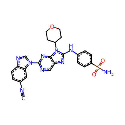 [C-]#[N+]c1ccc2ncn(-c3ncc4nc(Nc5ccc(S(N)(=O)=O)cc5)n(C5CCOCC5)c4n3)c2c1